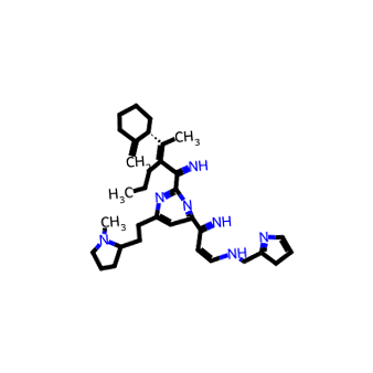 C=C1CCCC[C@@H]1/C(C)=C(\CCC)C(=N)c1nc(CCC2CCCN2C)cc(C(=N)/C=C\NCC2=NC=CC2)n1